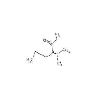 CCCN(C(=O)CC)C(C)C